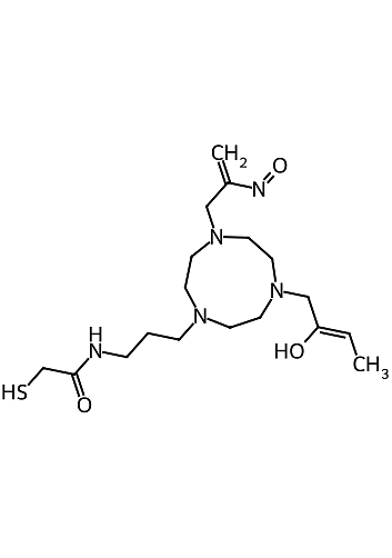 C=C(CN1CCN(CCCNC(=O)CS)CCN(CC(O)=CC)CC1)N=O